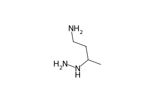 CC(CCN)NN